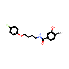 O=Nc1ccc(C(=O)NCCCCOc2ccc(F)cc2)cc1O